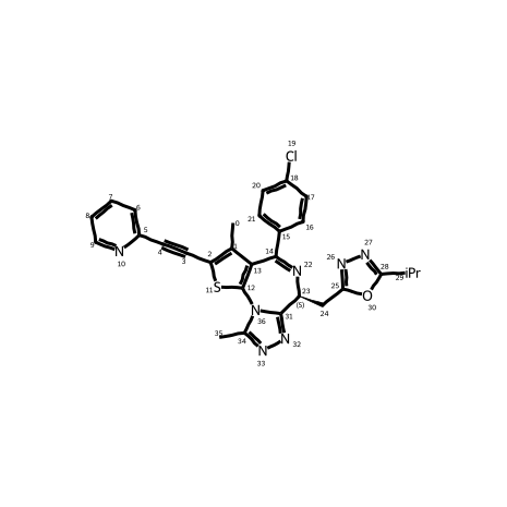 Cc1c(C#Cc2ccccn2)sc2c1C(c1ccc(Cl)cc1)=N[C@@H](Cc1nnc(C(C)C)o1)c1nnc(C)n1-2